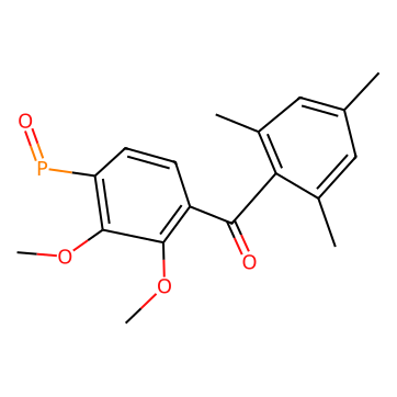 COc1c(P=O)ccc(C(=O)c2c(C)cc(C)cc2C)c1OC